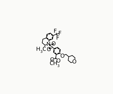 COC(=O)c1cc(S(=O)(=O)N2c3cc(C(F)(F)F)ccc3CC[C@@H]2C)ccc1OCC1CCOCC1